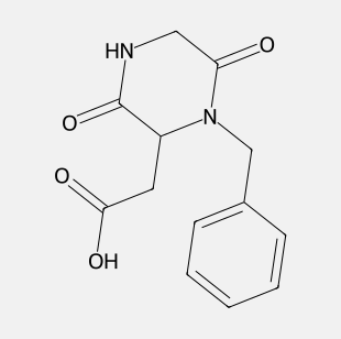 O=C(O)CC1C(=O)NCC(=O)N1Cc1ccccc1